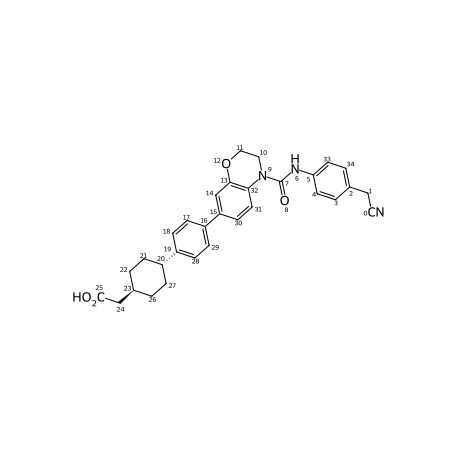 N#CCc1ccc(NC(=O)N2CCOc3cc(-c4ccc([C@H]5CC[C@H](CC(=O)O)CC5)cc4)ccc32)cc1